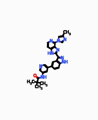 Cc1cn(-c2nccc3[nH]c(-c4n[nH]c5ccc(-c6cncc(NC(=O)C(C)(C)C)c6)cc45)nc23)cn1